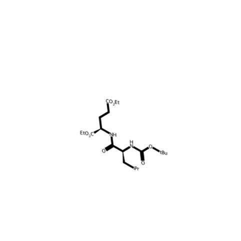 CCOC(=O)CC[C@@H](NC(=O)[C@H](CC(C)C)NC(=O)OC(C)(C)C)C(=O)OCC